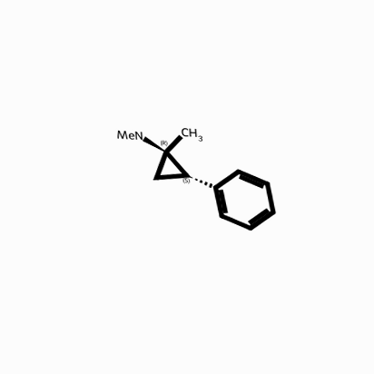 CN[C@]1(C)C[C@H]1c1ccccc1